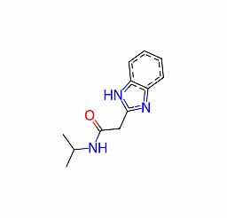 CC(C)NC(=O)Cc1nc2ccccc2[nH]1